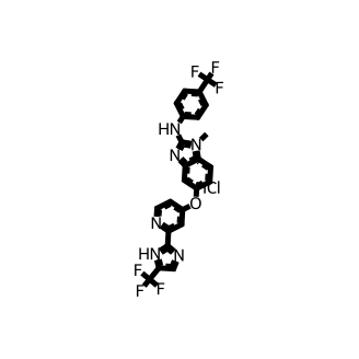 Cl.Cn1c(Nc2ccc(C(F)(F)F)cc2)nc2cc(Oc3ccnc(-c4ncc(C(F)(F)F)[nH]4)c3)ccc21